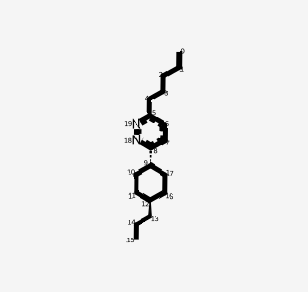 CCCCCc1ccc([C@H]2CC[C@H](CCC)CC2)nn1